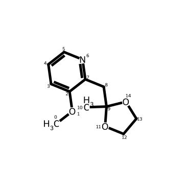 COc1cccnc1CC1(C)OCCO1